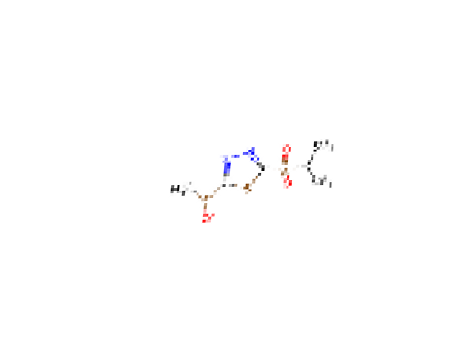 CC(C)S(=O)(=O)c1nnc([S+](C)[O-])s1